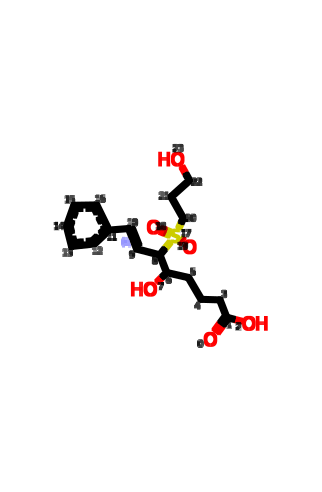 O=C(O)CCCC(O)C(/C=C/c1ccccc1)S(=O)(=O)CCCO